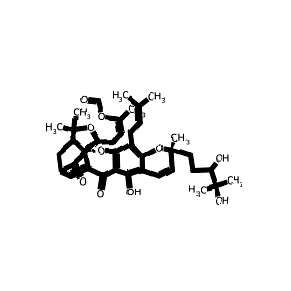 CC(C)=CCc1c2c(c(O)c3c1O[C@]14C(=CC5CC1C(C)(C)OC4(C/C=C(/C)OC=O)C5=O)C3=O)C=C[C@@](C)(CCC(O)C(C)(C)O)O2